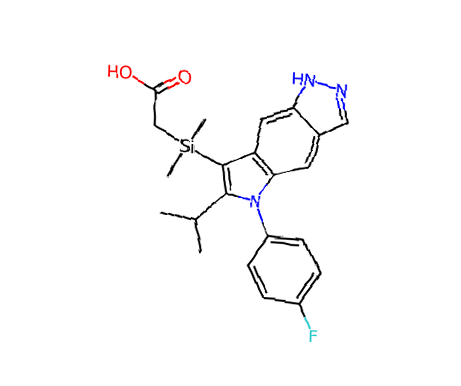 CC(C)c1c([Si](C)(C)CC(=O)O)c2cc3[nH]ncc3cc2n1-c1ccc(F)cc1